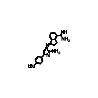 CC(C)(C)c1ccc(-c2cn(N=C3CCc4c(C(=N)N)cccc43)c(N)n2)cc1